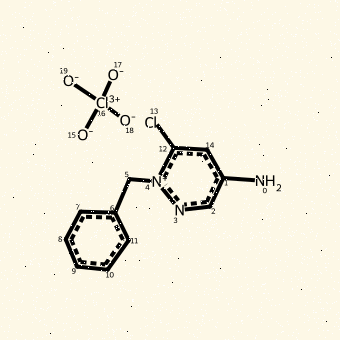 Nc1cn[n+](Cc2ccccc2)c(Cl)c1.[O-][Cl+3]([O-])([O-])[O-]